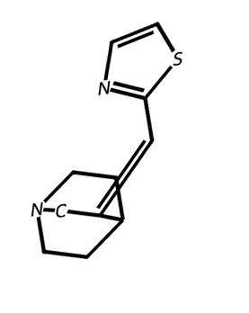 C(=C1/CN2CCC1CC2)/c1nccs1